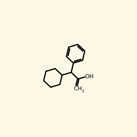 C=C(O)C(c1ccccc1)C1CCCCC1